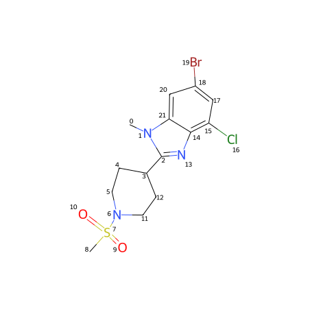 Cn1c(C2CCN(S(C)(=O)=O)CC2)nc2c(Cl)cc(Br)cc21